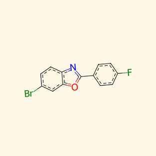 Fc1ccc(-c2nc3ccc(Br)cc3o2)cc1